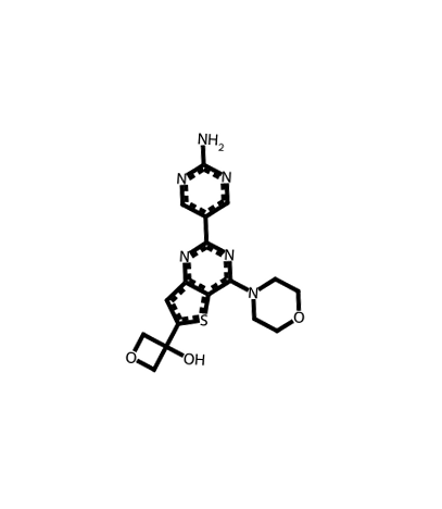 Nc1ncc(-c2nc(N3CCOCC3)c3sc(C4(O)COC4)cc3n2)cn1